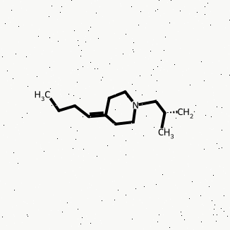 [CH2][C@H](C)CN1CCC(=CCCC)CC1